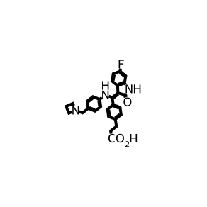 O=C(O)CCc1ccc(C(Nc2ccc(CN3CCC3)cc2)=C2C(=O)Nc3cc(F)ccc32)cc1